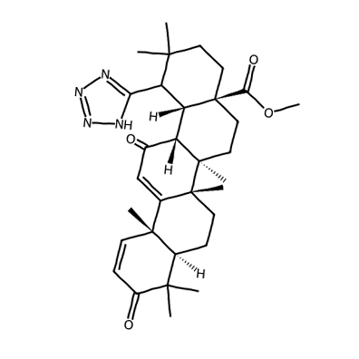 COC(=O)[C@]12CCC(C)(C)C(c3nnn[nH]3)[C@H]1[C@H]1C(=O)C=C3[C@@]4(C)C=CC(=O)C(C)(C)[C@@H]4CC[C@@]3(C)[C@]1(C)CC2